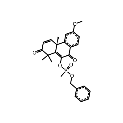 COc1ccc2c(c1)[C@@]1(C)C=CC(=O)C(C)(C)C1=C(OP(C)(=O)OCc1ccccc1)C2=O